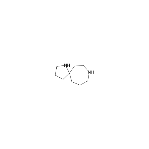 C1CNCCC2(C1)CCCN2